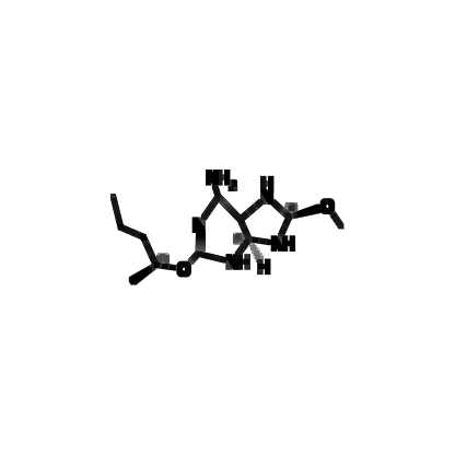 CCC[C@H](C)OC1=NC(N)C2N[C@@H](OC)N[C@H]2N1